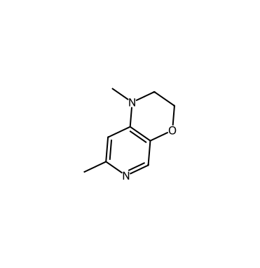 Cc1cc2c(cn1)OCCN2C